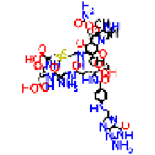 CO[C@]12C3N[C@H]3CN1C1=C(C(=O)C(NCCSSC[C@H](NC(=O)[C@H](CC(=O)O)NC(=O)[C@@H](N)CNC(=O)CC[C@@H](NC(=O)c3ccc(NCc4cnc5nc(N)[nH]c(=O)c5n4)cc3)C(=O)O)C(=O)O)=C(C)C1=O)[C@H]2COC(N)=O